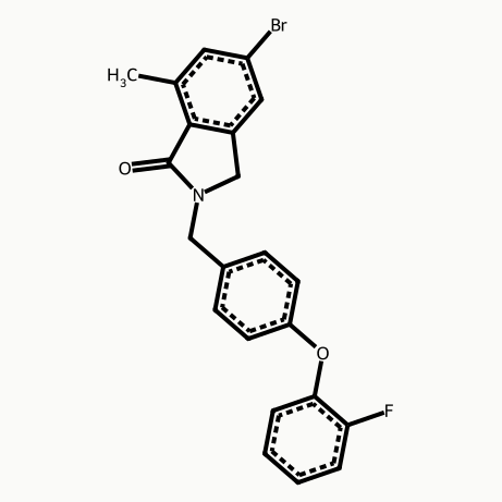 Cc1cc(Br)cc2c1C(=O)N(Cc1ccc(Oc3ccccc3F)cc1)C2